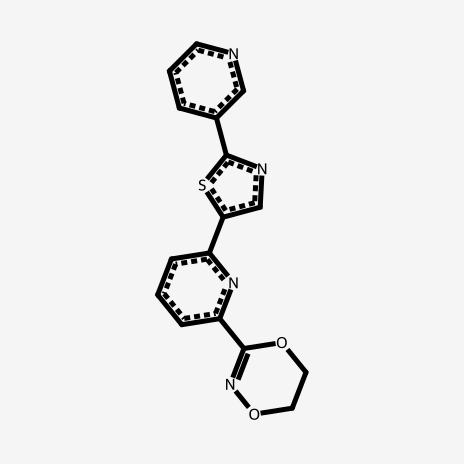 c1cncc(-c2ncc(-c3cccc(C4=NOCCO4)n3)s2)c1